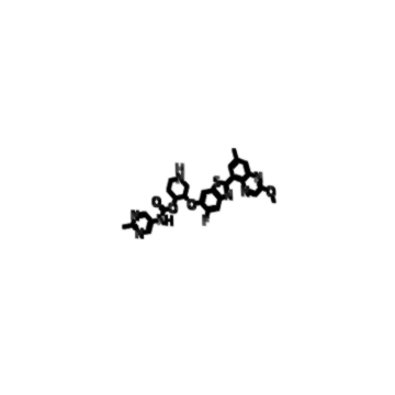 COc1cnc2c(-c3nc4cc(F)c(OC5CNCCC5OC(=O)Nc5cnc(C)nc5)cc4s3)cc(C)cc2n1